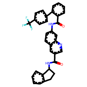 O=C(NC1CCc2ccccc21)c1cnc2cc(NC(=O)c3ccccc3-c3ccc(C(F)(F)F)cc3)ccc2c1